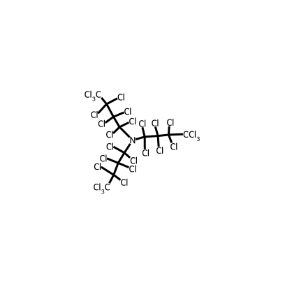 ClC(Cl)(Cl)C(Cl)(Cl)C(Cl)(Cl)C(Cl)(Cl)N(C(Cl)(Cl)C(Cl)(Cl)C(Cl)(Cl)C(Cl)(Cl)Cl)C(Cl)(Cl)C(Cl)(Cl)C(Cl)(Cl)C(Cl)(Cl)Cl